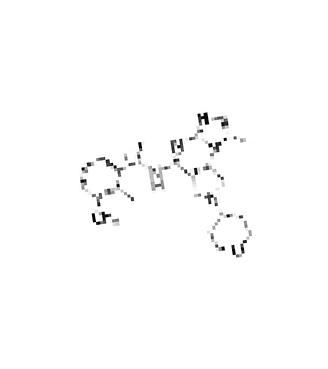 Cc1c([C@@H](C)Nc2nc3ncc(C)n3c3c2CN(C2CCOCC2)C3)cccc1C(F)(F)F